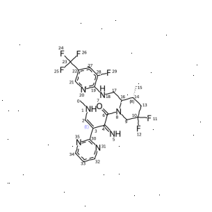 CN/C=C(\C(=N)C(=O)N1CC(F)(F)C[C@@H](C)C1CNc1ncc(C(F)(F)F)cc1F)c1ncccn1